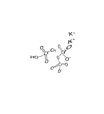 [K+].[K+].[O]=[Cr](=[O])([O-])[O][Cr](=[O])(=[O])[O-].[O]=[Cr](=[O])([OH])[OH]